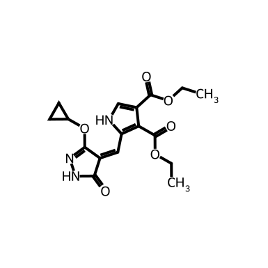 CCOC(=O)c1c[nH]c(/C=C2/C(=O)NN=C2OC2CC2)c1C(=O)OCC